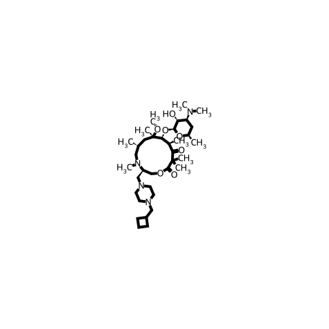 CO[C@]1(C)C[C@@H](C)CN(C)[C@H](CN2CCN(CC3CCC3)CC2)COC(=O)C(C)(C)C(=O)[C@H](C)[C@H]1O[C@@H]1O[C@H](C)C[C@H](N(C)C)[C@H]1O